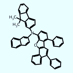 CC1(C)c2ccccc2-c2ccc(N(c3ccc4ccccc4c3)c3ccc(-c4ccccc4)c4c3oc3c5ccccc5c(-c5ccccc5)cc34)cc21